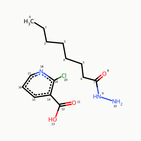 CCCCCCCC(=O)NN.O=C(O)c1cccnc1Cl